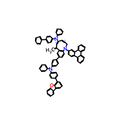 C=C1/C=C(N(c2ccccc2)c2ccc(-c3ccccc3)cc2)\C=C/CN(c2ccc3c4ccccc4c4ccccc4c3c2)c2ccc(-c3ccc(N(c4ccccc4)c4ccc(-c5cccc6c5oc5ccccc56)cc4)cc3)cc21